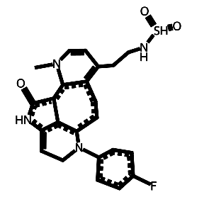 CN1C=CC(CCN[SH](=O)=O)=c2ccc3c4c([nH]c(=O)c-4c21)=CCN3c1ccc(F)cc1